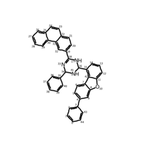 c1ccc(-c2ccc3c(c2)oc2cccc(C4NC(c5ccc6ccc7ccccc7c6c5)=NC(c5ccccc5)N4)c23)cc1